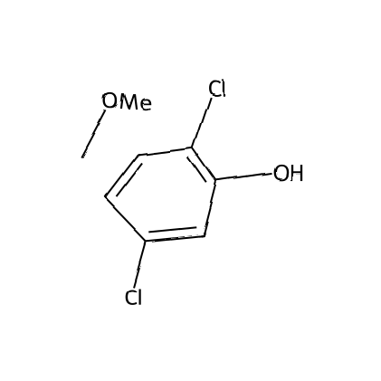 COC.Oc1cc(Cl)ccc1Cl